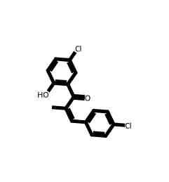 CC(=Cc1ccc(Cl)cc1)C(=O)c1cc(Cl)ccc1O